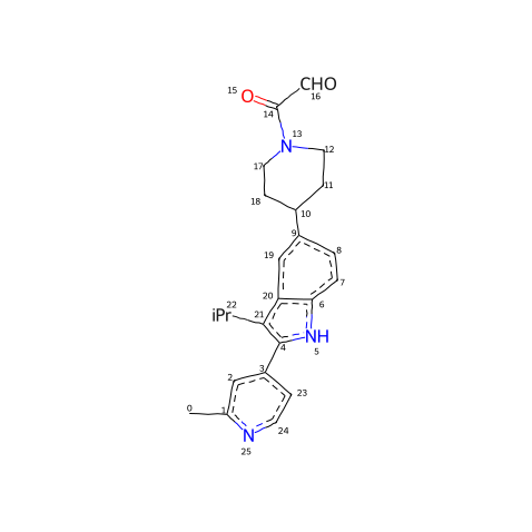 Cc1cc(-c2[nH]c3ccc(C4CCN(C(=O)C=O)CC4)cc3c2C(C)C)ccn1